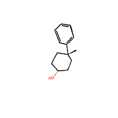 C[C@]1(c2ccccc2)CC[C@@H](O)CC1